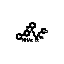 CCC(CCN1c2ccccc2Sc2cc(-c3ccccc3NC(C)=O)ccc21)N(CC)Cc1ccoc1